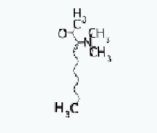 CCCCCC/C=C(/C(C)=O)N(C)C